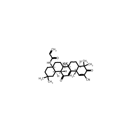 C=CC(=O)N[C@]12CCC(C)(C)C[C@@H]1[C@H]1C(=O)C=C3[C@@]4(C)C=C(C#N)C(=O)C(C)(C)[C@@H]4CC[C@@]3(C)[C@]1(C)CC2